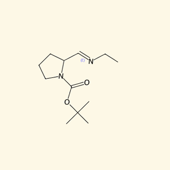 CC/N=C/C1CCCN1C(=O)OC(C)(C)C